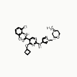 CN1CCO[C@H](Cn2cc(Nc3ncc(C(=O)Nc4c(Cl)cccc4Cl)c(OC4CCC4)n3)cn2)C1